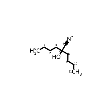 CCCCC(O)(C#N)CCCC